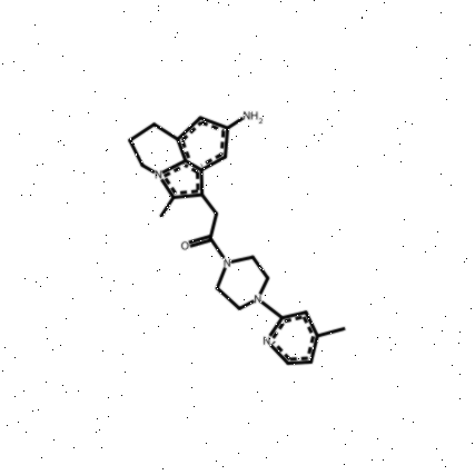 Cc1ccnc(N2CCN(C(=O)Cc3c(C)n4c5c(cc(N)cc35)CCC4)CC2)c1